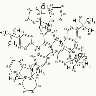 CC(C)(C)c1ccc(N2c3cc(N4c5ccccc5C5(C)CCCCCC45C)ccc3B3c4ccc(C(C)(C)C)cc4N(c4ccc(C(C)(C)C)cc4-c4ccccc4)c4cc(N5c6ccccc6C6(C)CCCCC56C)cc2c43)cc1